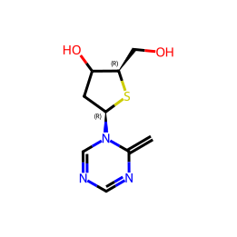 C=C1N=CN=CN1[C@H]1CC(O)[C@@H](CO)S1